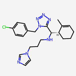 CC1=CCCC[C@@H]1C(NCCCn1ccnc1)c1nnnn1Cc1ccc(Cl)cc1